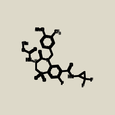 COc1ccc(CN2C(=O)[C@@H](NC(=O)OC(C)(C)C)CS(=O)(=O)c3cc(F)c(C(=O)NC4CC4(F)F)cc32)cc1C(F)(F)F